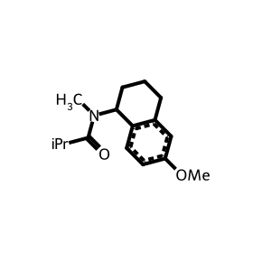 COc1ccc2c(c1)CCCC2N(C)C(=O)C(C)C